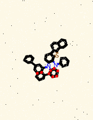 c1ccc(-c2cccc(N(c3ccccc3)c3ccc4c(sc5c6ccccc6ccc45)c3N(c3ccccc3)c3cccc(-c4ccccc4)c3)c2)cc1